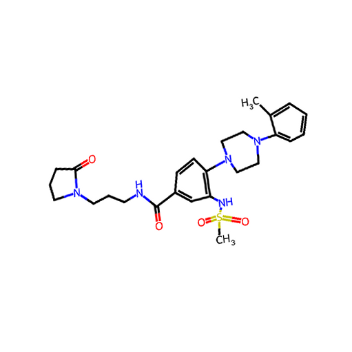 Cc1ccccc1N1CCN(c2ccc(C(=O)NCCCN3CCCC3=O)cc2NS(C)(=O)=O)CC1